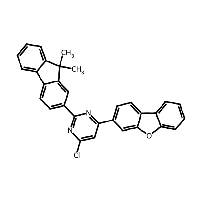 CC1(C)c2ccccc2-c2ccc(-c3nc(Cl)cc(-c4ccc5c(c4)oc4ccccc45)n3)cc21